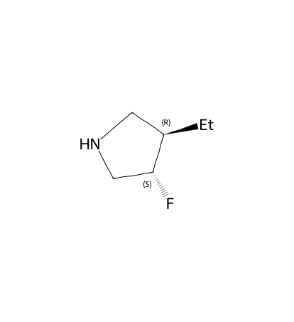 CC[C@@H]1CNC[C@H]1F